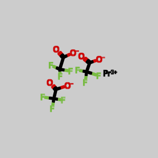 O=C([O-])C(F)(F)F.O=C([O-])C(F)(F)F.O=C([O-])C(F)(F)F.[Pr+3]